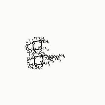 CCC1=C(C)c2cc3[nH]c(cc4nc(cc5[nH]c(cc1n2)c(C)c5CCC(=O)[O-])C(CCC(=O)[O-])=C4C)c(C)c3CC.CCC1=C(C)c2cc3[nH]c(cc4nc(cc5[nH]c(cc1n2)c(C)c5CCC(=O)[O-])C(CCC(=O)[O-])=C4C)c(C)c3CC.CN(C)CC(N)=O.CN(C)CC(N)=O.[Pt+4]